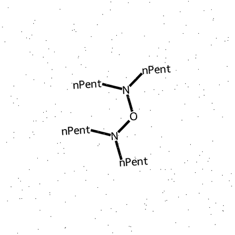 CCCCCN(CCCCC)ON(CCCCC)CCCCC